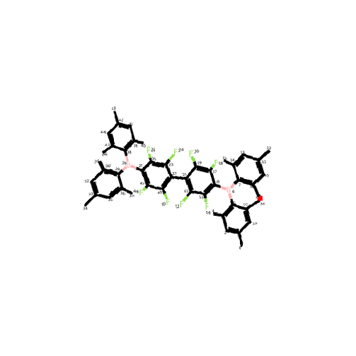 Cc1cc(C)c(B(c2c(C)cc(C)cc2C)c2c(F)c(F)c(-c3c(F)c(F)c(B(c4c(C)cc(C)cc4C)c4c(C)cc(C)cc4C)c(F)c3F)c(F)c2F)c(C)c1